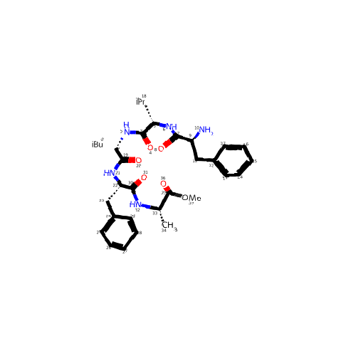 CC[C@H](C)[C@H](NC(=O)[C@@H](NC(=O)[C@@H](N)Cc1ccccc1)C(C)C)C(=O)N[C@@H](Cc1ccccc1)C(=O)N[C@@H](C)C(=O)OC